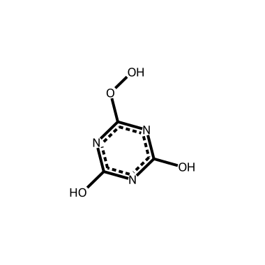 OOc1nc(O)nc(O)n1